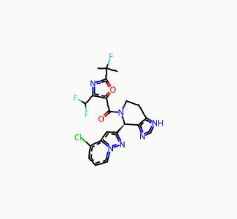 CC(C)(F)c1nc(C(F)F)c(C(=O)N2CCc3[nH]cnc3[C@H]2c2cc3c(Cl)cccn3n2)o1